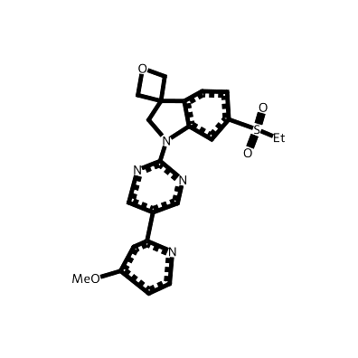 CCS(=O)(=O)c1ccc2c(c1)N(c1ncc(-c3cc(OC)ccn3)cn1)CC21COC1